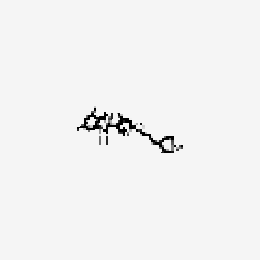 Cc1cc(C)c2nc(-c3cnc(OCCCC4CCN(C)CC4)cc3C)[nH]c2c1